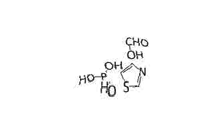 O=CO.O=[PH](O)O.c1cscn1